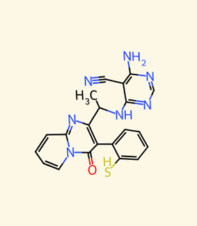 CC(Nc1ncnc(N)c1C#N)c1nc2ccccn2c(=O)c1-c1ccccc1S